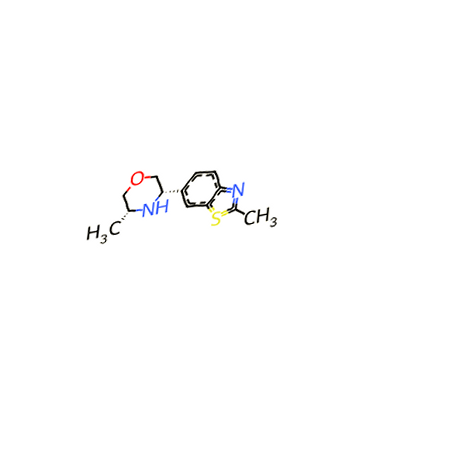 Cc1nc2ccc([C@H]3COC[C@@H](C)N3)cc2s1